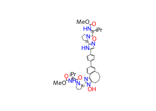 COC(=O)N[C@H](C(=O)N1CCC[C@H]1c1ncc(-c2ccc(-c3ccc4c(c3)CCCCc3c-4nc([C@@H]4CCCN4C(=O)[C@@H](NC(=O)OC)C(C)C)n3O)cc2)[nH]1)C(C)C